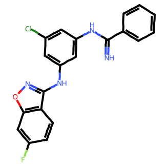 N=C(Nc1cc(Cl)cc(Nc2noc3cc(F)ccc23)c1)c1ccccc1